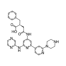 O=C(C[C@H](Cc1ccccc1)C(=O)O)Nc1cc(Nc2cnccn2)nc(-c2ccnc(N3CCNCC3)c2)c1